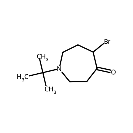 CC(C)(C)N1CCC(=O)C(Br)CC1